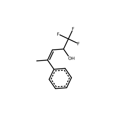 C/C(=C/C(O)C(F)(F)F)c1ccccc1